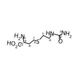 NC(=O)NCCSCC[C@@H](N)C(=O)O